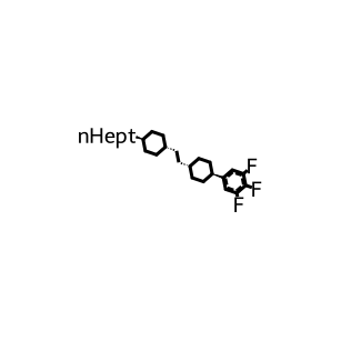 CCCCCCC[C@H]1CC[C@H](CC[C@H]2CC[C@H](c3cc(F)c(F)c(F)c3)CC2)CC1